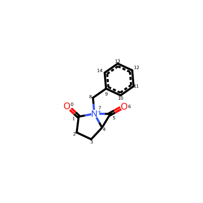 O=C1CCC2C(=O)[N+]12Cc1ccccc1